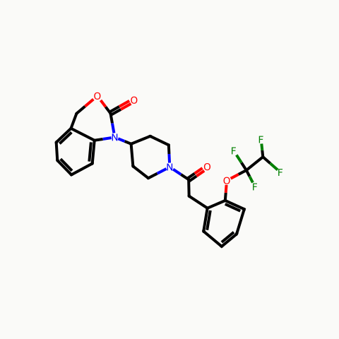 O=C(Cc1ccccc1OC(F)(F)C(F)F)N1CCC(N2C(=O)OCc3ccccc32)CC1